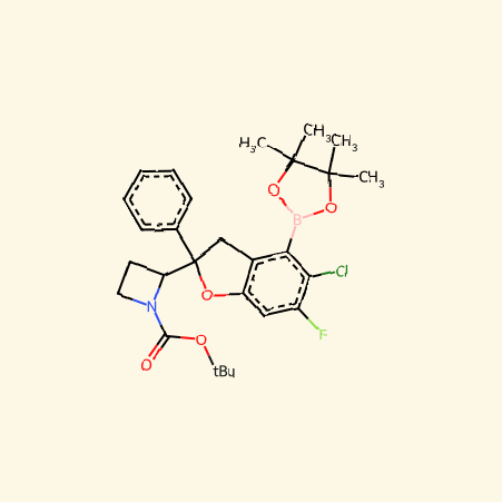 CC(C)(C)OC(=O)N1CCC1C1(c2ccccc2)Cc2c(cc(F)c(Cl)c2B2OC(C)(C)C(C)(C)O2)O1